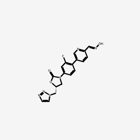 O=C1O[C@@H](Cn2ccnn2)CN1c1ccc(-c2ccc(/C=N/O)nc2)c(F)c1